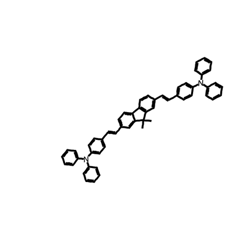 CC1(C)c2cc(C=Cc3ccc(N(c4ccccc4)c4ccccc4)cc3)ccc2-c2ccc(C=Cc3ccc(N(c4ccccc4)c4ccccc4)cc3)cc21